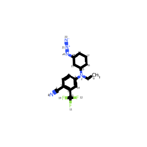 CCN(c1ccc(C#N)c(C(F)(F)F)c1)C1CCCC(N=[N+]=[N-])C1